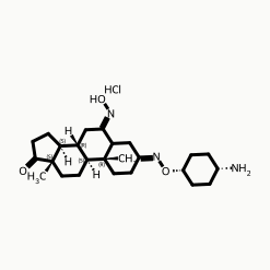 C[C@]12CCC(=NO[C@H]3CC[C@@H](N)CC3)CC1C(=NO)C[C@@H]1[C@@H]2CC[C@]2(C)C(=O)CC[C@@H]12.Cl